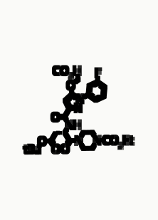 CCOC(=O)N1CCN(C(=O)[C@H](CC(=O)OC(C)(C)C)NC(=O)c2cc(OCC(=O)O)n(-c3cccc(F)c3)n2)CC1